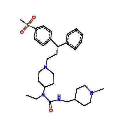 CCN(C(=O)NCC1CCN(C)CC1)C1CCN(CC[C@@H](c2ccccc2)c2ccc(S(C)(=O)=O)cc2)CC1